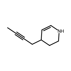 CC#CCC1C=CNCC1